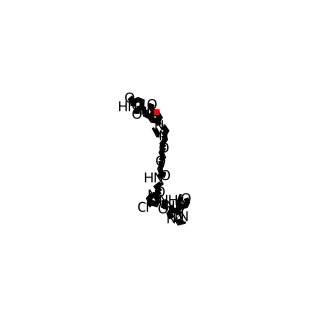 O=C(CCOCCOCCN1CCN(c2ccc3c(c2)CN(C2CCC(=O)NC2=O)C3=O)CC1)NCCOc1ncc(Cl)cc1NC(=O)Nc1cnc2ccnn2c1C1CCOCC1